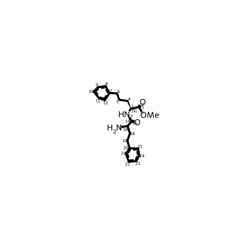 COC(=O)[C@H](CCCc1ccccc1)NC(=O)C(N)CCc1ccccc1